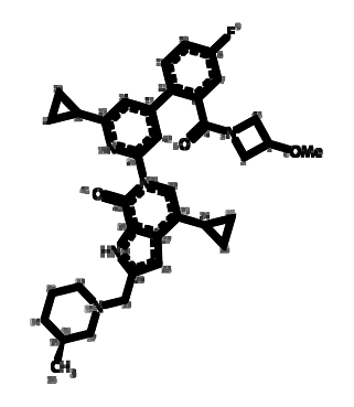 COC1CN(C(=O)c2cc(F)ccc2-c2cc(C3CC3)nc(-n3cc(C4CC4)c4cc(CN5CCC[C@H](C)C5)[nH]c4c3=O)c2)C1